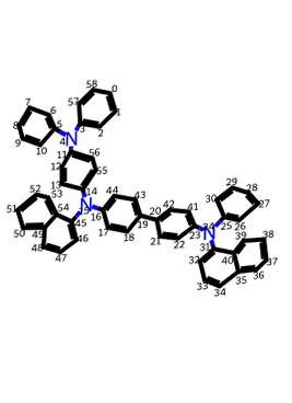 c1ccc(N(c2ccccc2)c2ccc(N(c3ccc(-c4ccc(N(c5ccccc5)c5cccc6ccccc56)cc4)cc3)c3cccc4ccccc34)cc2)cc1